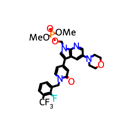 COP(=O)(OC)OCn1cc(-c2ccn(Cc3cccc(C(F)(F)F)c3F)c(=O)c2)c2cc(N3CCOCC3)cnc21